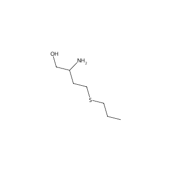 CCCSCCC(N)CO